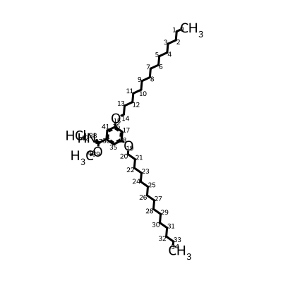 CCCCCCCCCCCCCCCOc1cc(OCCCCCCCCCCCCCCC)cc(C(=N)OC)c1.Cl